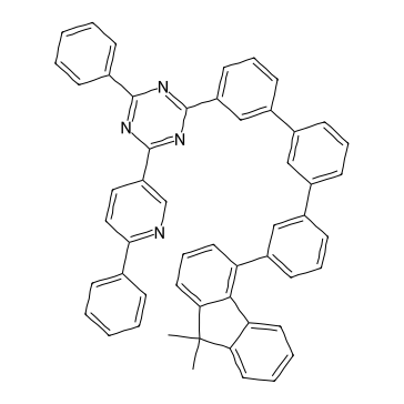 CC1(C)c2ccccc2-c2c(-c3cccc(-c4cccc(-c5cccc(-c6nc(-c7ccccc7)nc(-c7ccc(-c8ccccc8)nc7)n6)c5)c4)c3)cccc21